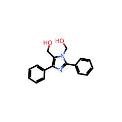 OCc1c(-c2ccccc2)nc(-c2ccccc2)n1CO